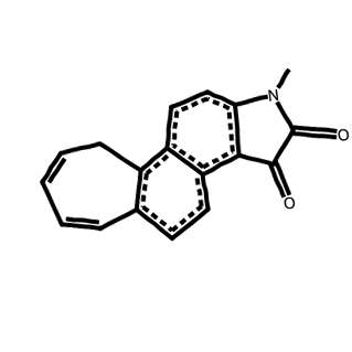 CN1C(=O)C(=O)c2c1ccc1c3c(ccc21)C=CC=CC3